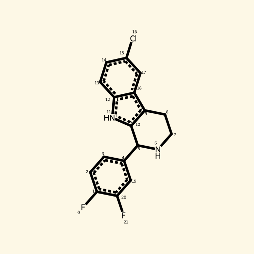 Fc1ccc(C2NCCc3c2[nH]c2ccc(Cl)cc32)cc1F